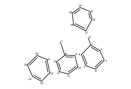 Cc1ccccc1.Cc1ccccc1.c1ccccc1.c1ccccc1